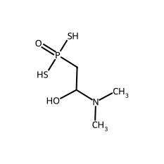 CN(C)C(O)CP(=O)(S)S